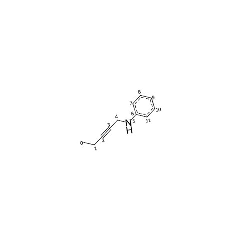 CCC#CCNc1ccccc1